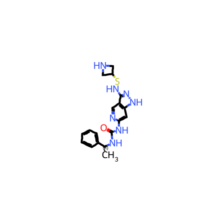 C[C@@H](NC(=O)Nc1cc2[nH]nc(NSC3CNC3)c2cn1)c1ccccc1